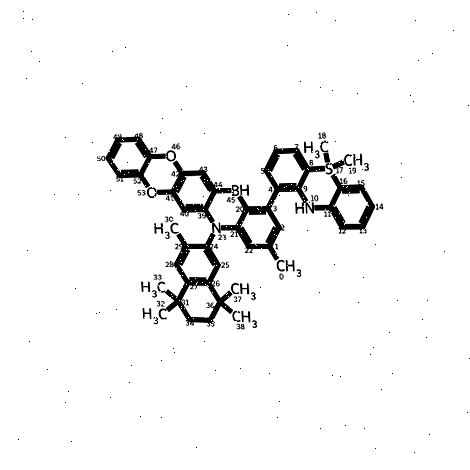 Cc1cc(-c2cccc3c2Nc2ccccc2S3(C)C)c2c(c1)N(c1cc3c(cc1C)C(C)(C)CCC3(C)C)c1cc3c(cc1B2)Oc1ccccc1O3